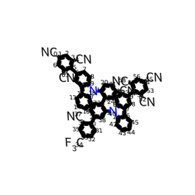 N#Cc1cc(C#N)c(-c2ccc3c(c2)c2ccccc2n3-c2ccc(C#N)cc2-c2ccc(-c3ccc(C(F)(F)F)cc3C#N)cc2-n2c3ccccc3c3cc(-c4c(C#N)cc(C#N)cc4C#N)ccc32)c(C#N)c1